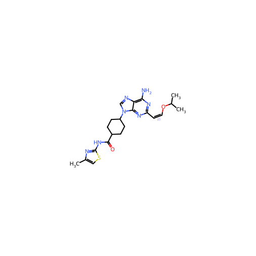 Cc1csc(NC(=O)C2CCC(n3cnc4c(N)nc(/C=C\OC(C)C)nc43)CC2)n1